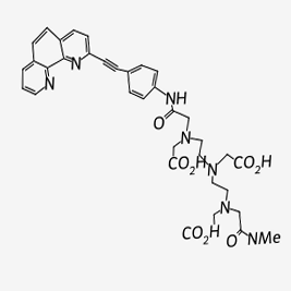 CNC(=O)CN(CCN(CCN(CC(=O)O)CC(=O)Nc1ccc(C#Cc2ccc3ccc4cccnc4c3n2)cc1)CC(=O)O)CC(=O)O